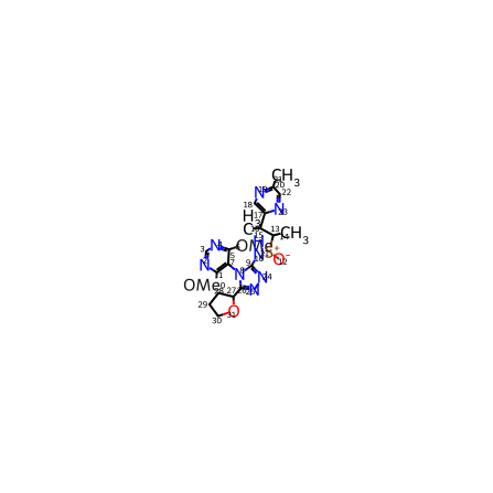 COc1ncnc(OC)c1-n1c(N[S+]([O-])C(C)C(C)c2cnc(C)cn2)nnc1C1CCCO1